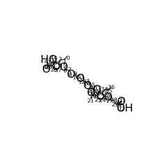 CCCc1c(OCCOCCOCCOCCOc2c(C(C)=O)ccc(OCCCC(=O)O)c2CCC)ccc(C(C)=O)c1O